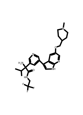 CC(C)C(N)(C(=O)NCC(F)(F)F)c1cncc(-c2c[nH]c3ncc(OCC4CCN(C)CC4)cc23)c1